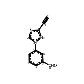 C#Cc1ncn(-c2cccc(C=O)c2)n1